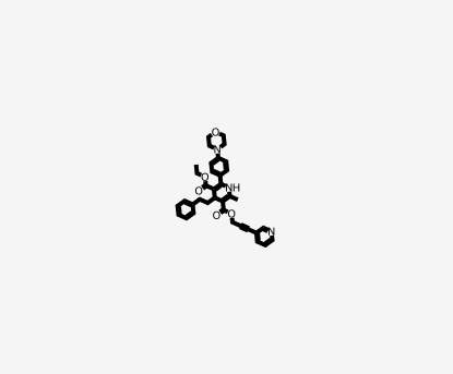 CCOC(=O)C1=C(c2ccc(N3CCOCC3)cc2)NC(C)=C(C(=O)OCC#Cc2cccnc2)C1CCc1ccccc1